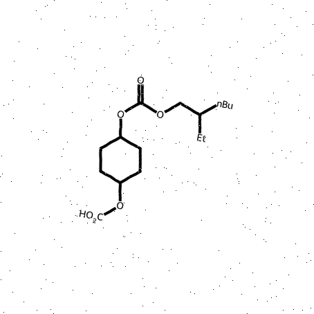 CCCCC(CC)COC(=O)OC1CCC(OC(=O)O)CC1